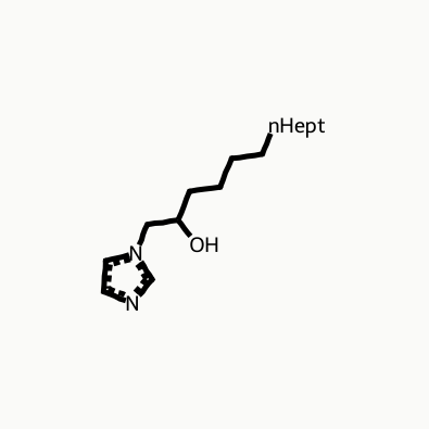 CCCCCCCCCCCC(O)Cn1ccnc1